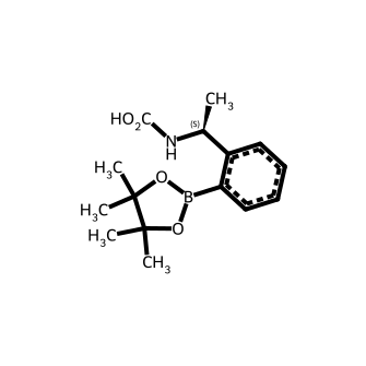 C[C@H](NC(=O)O)c1ccccc1B1OC(C)(C)C(C)(C)O1